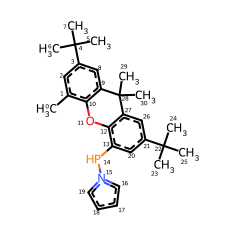 Cc1cc(C(C)(C)C)cc2c1Oc1c(Pn3cccc3)cc(C(C)(C)C)cc1C2(C)C